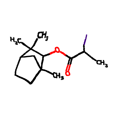 CC(I)C(=O)OC1C2(C)CCC(C2)C1(C)C